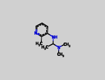 Cc1ncccc1NC(C)N(C)C